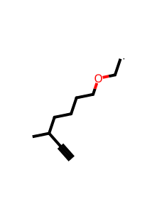 C#CC(C)CCCCOC[CH2]